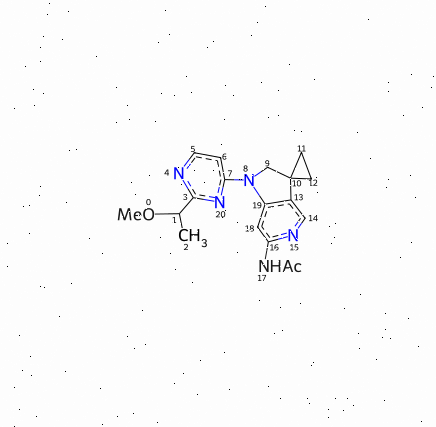 COC(C)c1nccc(N2CC3(CC3)c3cnc(NC(C)=O)cc32)n1